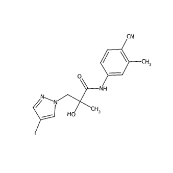 Cc1cc(NC(=O)C(C)(O)Cn2cc(I)cn2)ccc1C#N